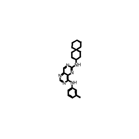 Cc1cccc(Nc2ncnc3cnc(NC4CCC5(CCCCC5)CC4)nc23)c1